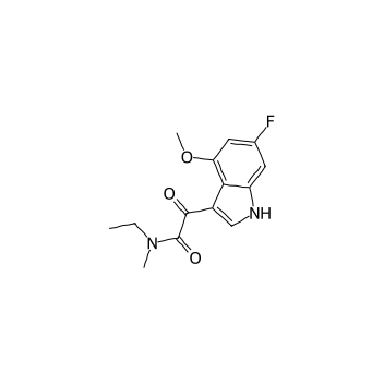 CCN(C)C(=O)C(=O)c1c[nH]c2cc(F)cc(OC)c12